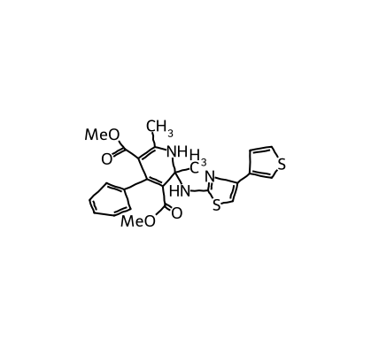 COC(=O)C1=C(C)NC(C)(Nc2nc(-c3ccsc3)cs2)C(C(=O)OC)=C1c1ccccc1